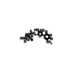 Cc1cn([C@@H]2O[C@H](COP(O)(=S)OP(=O)(O)OP(=O)(O)O)C(O)[C@@H]2O)c(=O)[nH]c1=O